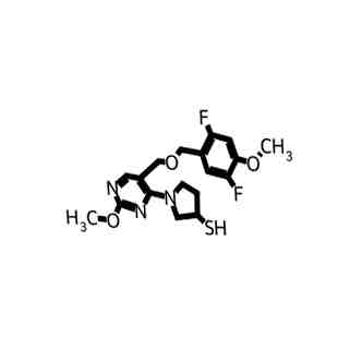 COc1ncc(COCc2cc(F)c(OC)cc2F)c(N2CCC(S)C2)n1